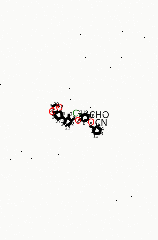 Cc1c(COc2cc(OCc3ccccc3C#N)c(C=O)cc2Cl)cccc1-c1ccc2c(c1)OCCO2